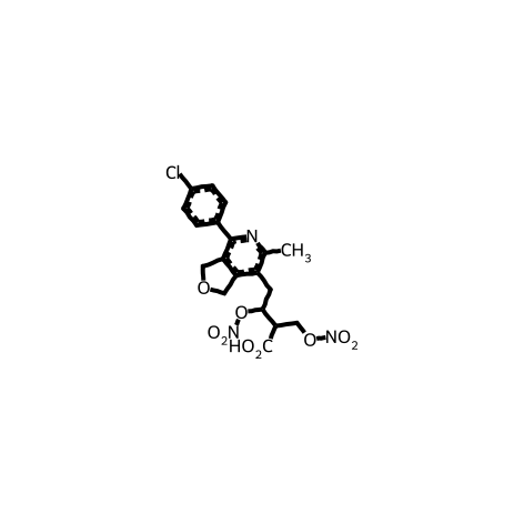 Cc1nc(-c2ccc(Cl)cc2)c2c(c1CC(O[N+](=O)[O-])C(CO[N+](=O)[O-])C(=O)O)COC2